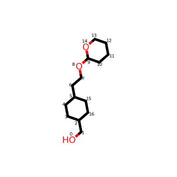 OCC1CCC(CCOC2CCCCO2)CC1